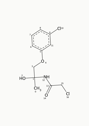 CC(O)(COc1cccc(Cl)c1)NC(=O)CCl